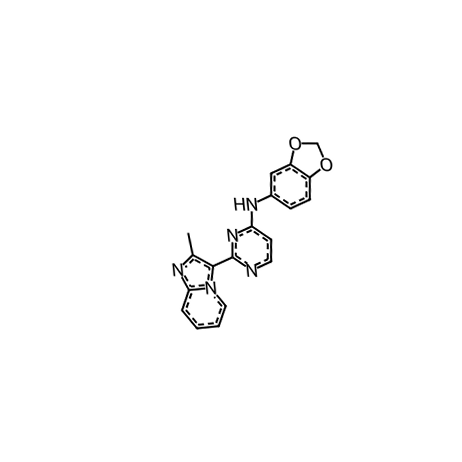 Cc1nc2ccccn2c1-c1nccc(Nc2ccc3c(c2)OCO3)n1